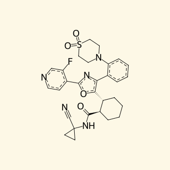 N#CC1(NC(=O)[C@@H]2CCCC[C@H]2c2oc(-c3ccncc3F)nc2-c2ccccc2N2CCS(=O)(=O)CC2)CC1